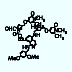 COc1ccc(CNc2nccc3c(NCC45CC(COc6cc(C)n(C)c(=O)c6)(CN4)C5)cccc23)c(OC)c1.Cc1cc(OCC23CN(C(=O)OC(C)(C)C)C(C=O)(C2)C3)cc(=O)n1C